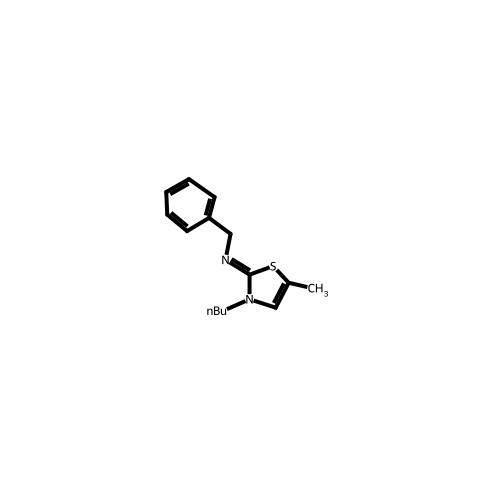 CCCCn1cc(C)s/c1=N\Cc1ccccc1